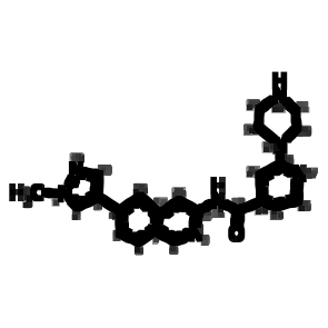 Cn1cc(-c2ccc3cnc(NC(=O)c4ccnc(N5CCNCC5)c4)cc3c2)cn1